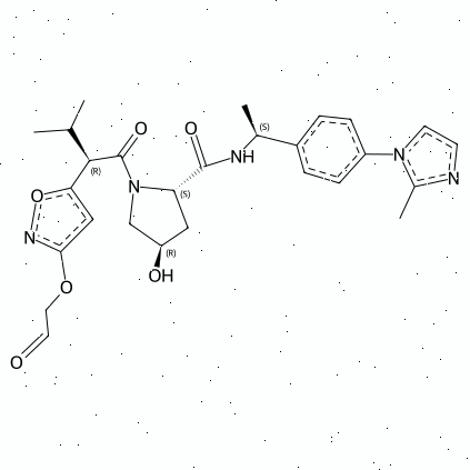 Cc1nccn1-c1ccc([C@H](C)NC(=O)[C@@H]2C[C@@H](O)CN2C(=O)[C@@H](c2cc(OCC=O)no2)C(C)C)cc1